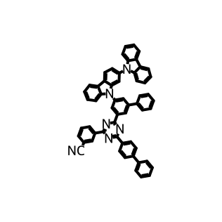 N#Cc1cccc(-c2nc(-c3ccc(-c4ccccc4)cc3)nc(-c3cc(-c4ccccc4)cc(-n4c5ccccc5c5ccc(-n6c7ccccc7c7ccccc76)cc54)c3)n2)c1